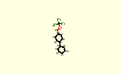 FC(F)(F)OSc1ccc(-c2cc[c]cc2)cc1